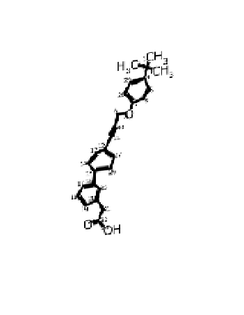 CC(C)(C)c1ccc(OCC#Cc2ccc(-c3cccc(CC(=O)O)c3)cc2)cc1